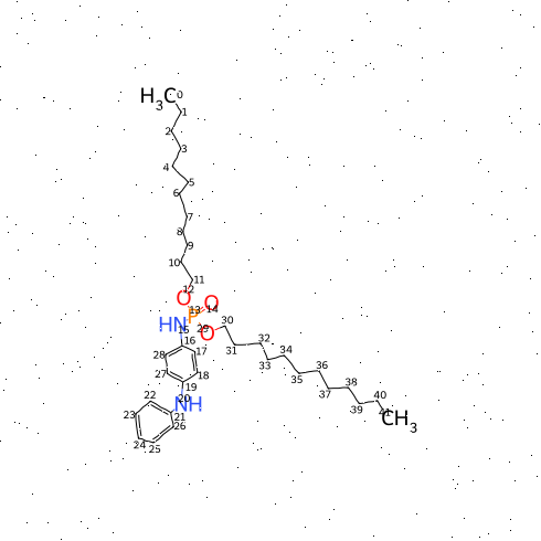 CCCCCCCCCCCCOP(=O)(Nc1ccc(Nc2ccccc2)cc1)OCCCCCCCCCCCC